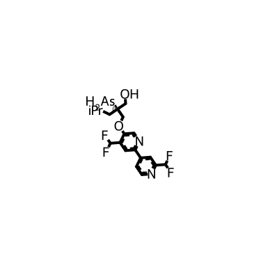 CC(C)C[C@]([AsH2])(CO)COc1cnc(-c2ccnc(C(F)F)c2)cc1C(F)F